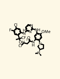 COc1cc(N2CC[C@@H](N(C)C)C2)c(NC(=O)CCCl)cc1Nc1nccc(Nc2cc(Cl)c(F)cc2C(C)(O)C(F)(F)F)n1